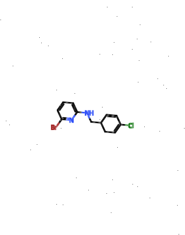 ClC1=CCC(CNc2cccc(Br)n2)C=C1